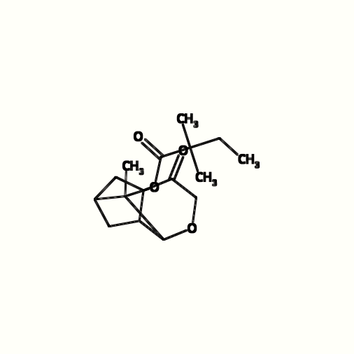 CCC(C)(C)C(=O)OC1(C)C2CC3C(=O)COC1C3C2